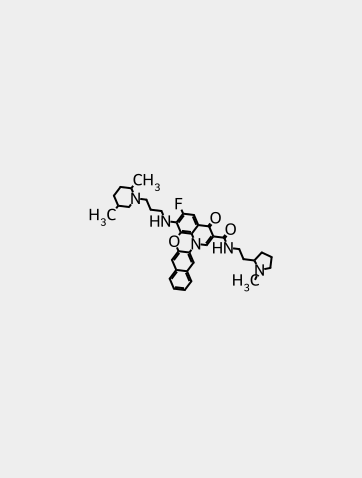 CC1CCC(C)N(CCCNc2c(F)cc3c(=O)c(C(=O)NCCC4CCCN4C)cn4c3c2Oc2cc3ccccc3cc2-4)C1